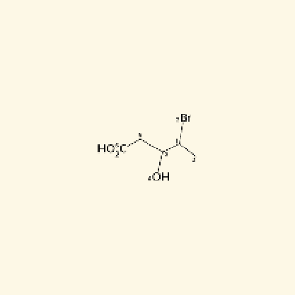 CC(Br)C(O)CC(=O)O